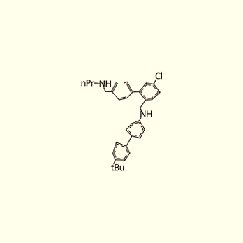 C=C(/C=C\C(=C/C)c1cc(Cl)ccc1CNc1ccc(-c2ccc(C(C)(C)C)cc2)cc1)CNCCC